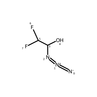 [N-]=[N+]=NC(O)C(F)F